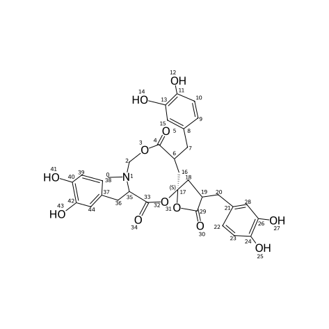 CN1COC(=O)C(Cc2ccc(O)c(O)c2)C[C@@]2(CC(Cc3ccc(O)c(O)c3)C(=O)O2)OC(=O)C1Cc1ccc(O)c(O)c1